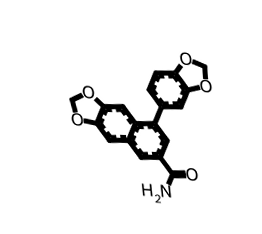 NC(=O)c1cc(-c2ccc3c(c2)OCO3)c2cc3c(cc2c1)OCO3